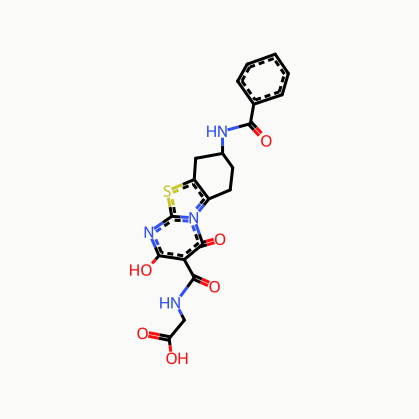 O=C(O)CNC(=O)c1c(O)nc2sc3c(n2c1=O)CCC(NC(=O)c1ccccc1)C3